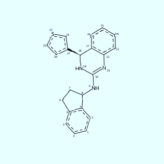 c1ccc2c(c1)CCC2NC1=Nc2ccccc2[C@H](c2ccsc2)N1